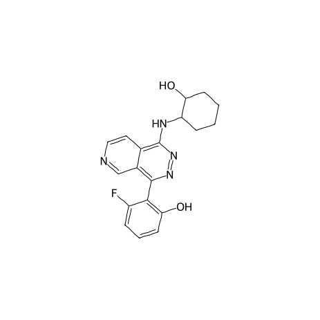 Oc1cccc(F)c1-c1nnc(NC2CCCCC2O)c2ccncc12